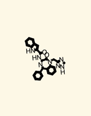 O=C(NC1N=C(c2ccccc2)c2ccccc2N(Cc2nc[nH]n2)C1=O)c1cc2ccccc2[nH]1